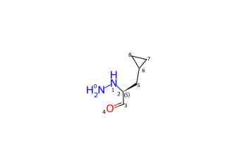 NN[C@H](C=O)CC1CC1